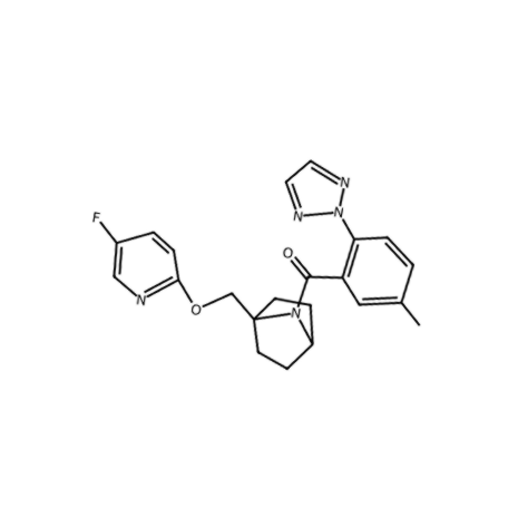 Cc1ccc(-n2nccn2)c(C(=O)N2C3CCC2(COc2ccc(F)cn2)CC3)c1